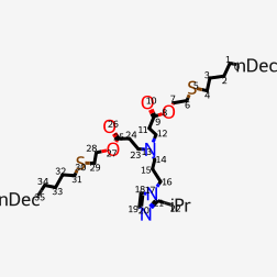 CCCCCCCCCCCCCCSCCOC(=O)CCN(CCCn1ccnc1C(C)C)CCC(=O)OCCSCCCCCCCCCCCCCC